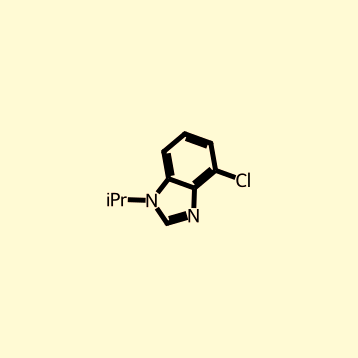 CC(C)n1cnc2c(Cl)cccc21